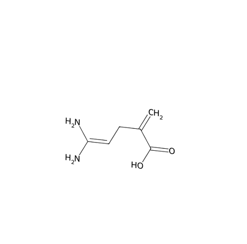 C=C(CC=C(N)N)C(=O)O